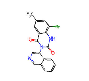 O=c1[nH]c2c(Br)cc(C(F)(F)F)cc2c(=O)n1-c1cncc2ccccc12